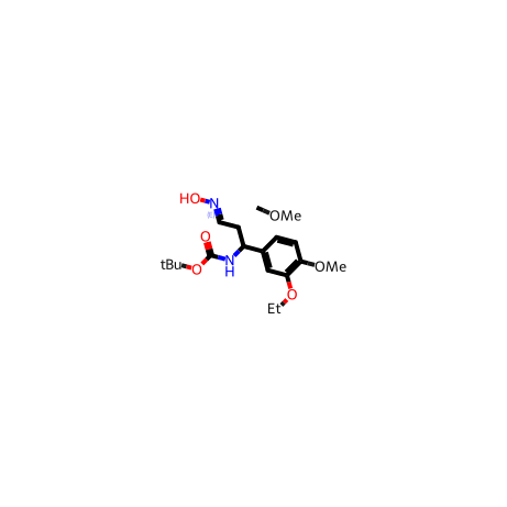 CCOc1cc(C(C/C=N/O)NC(=O)OC(C)(C)C)ccc1OC.COC